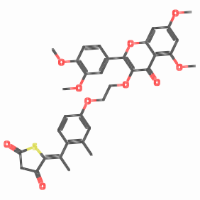 COc1cc(OC)c2c(=O)c(OCCOc3ccc(/C(C)=C4\SC(=O)CC4=O)c(C)c3)c(-c3ccc(OC)c(OC)c3)oc2c1